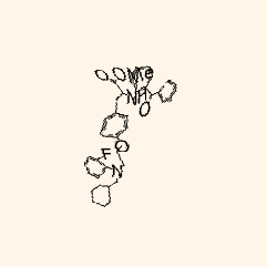 COC(=O)C(Cc1ccc(OCCN(CC2CCCCC2)c2ccccc2F)cc1)Nc1ccccc1C(=O)c1ccccc1